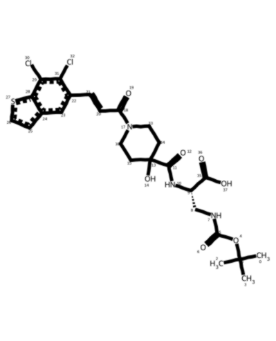 CC(C)(C)OC(=O)NC[C@H](NC(=O)C1(O)CCN(C(=O)C=Cc2cc3ccsc3c(Cl)c2Cl)CC1)C(=O)O